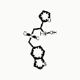 O=S(=O)(Cc1ccc2sccc2c1)CC(NO)c1ccco1